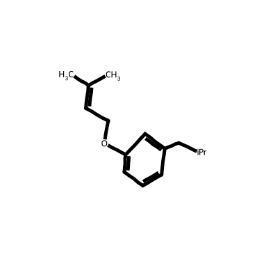 CC(C)=CCOc1[c]c(CC(C)C)ccc1